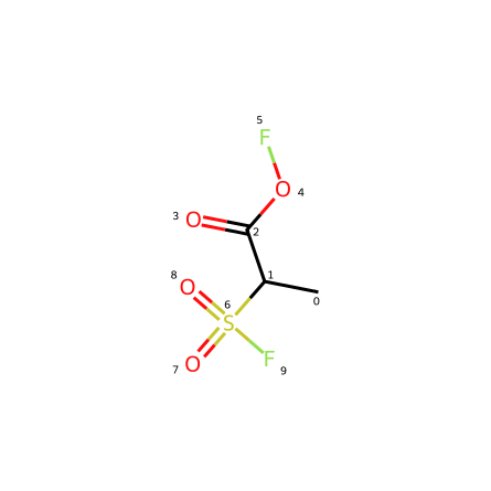 CC(C(=O)OF)S(=O)(=O)F